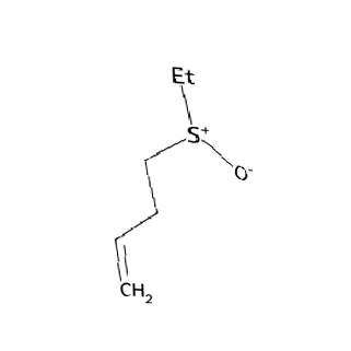 C=CCC[S+]([O-])CC